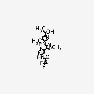 CCC(O)c1cc(C)c(Nc2nn(C)cc2-c2cc(NC(=O)[C@H]3CC3(F)F)ncn2)cn1